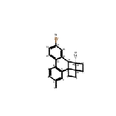 Cc1ccc2c(c1)C13CCC14CC[C@@H]4C3c1cc(Br)ccc1-2